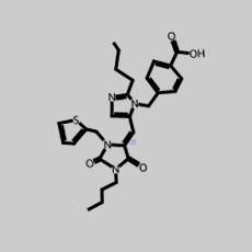 CCCCc1ncc(/C=C2/C(=O)N(CCCC)C(=O)N2Cc2cccs2)n1Cc1ccc(C(=O)O)cc1